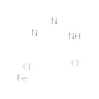 [Cl-].[Cl-].[Fe+2].c1c[nH]nn1